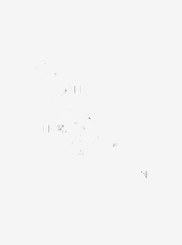 Cc1cccc(C[C@@H](O)/C=C/[C@@H]2[C@H]3CC(CSCCCN(C)C)=C[C@H]3C[C@H]2O)c1